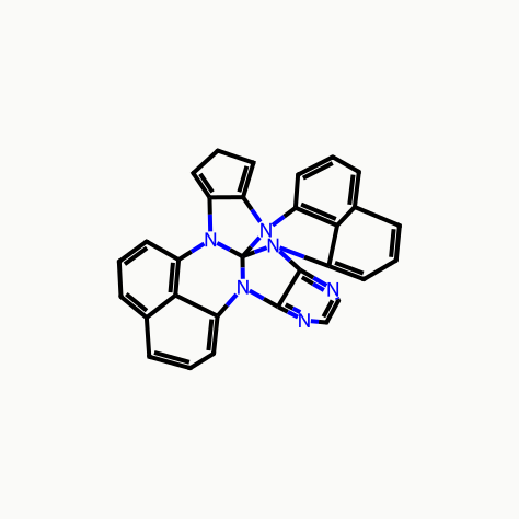 C1=C2C(=CC1)N1c3cccc4cccc(c34)N3c4nccnc4N4c5cccc6cccc(c56)N2C143